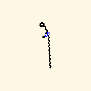 CCCCCCCCCCCCCCCCCCc1nc(CCCc2ccccc2)cn1CC